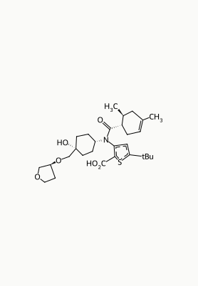 CC1=CC[C@H](C(=O)N(c2cc(C(C)(C)C)sc2C(=O)O)[C@H]2CC[C@](O)(CO[C@H]3CCOC3)CC2)[C@@H](C)C1